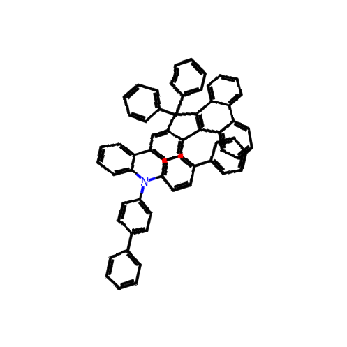 c1ccc(-c2ccc(N(c3ccc(-c4ccccc4)cc3)c3ccccc3-c3ccc4c(c3)C(c3ccccc3)(c3ccccc3)c3c-4c4ccccc4c4ccccc34)cc2)cc1